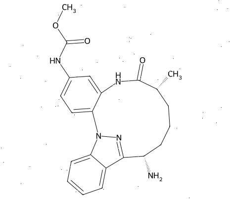 COC(=O)Nc1ccc2c(c1)NC(=O)[C@H](C)CCC[C@H](N)c1nn-2c2ccccc12